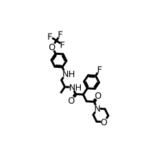 CC(CNc1ccc(OC(F)(F)F)cc1)NC(=O)C(CC(=O)N1CCOCC1)c1ccc(F)cc1